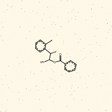 CCCC(OC(=O)c1ccccc1)C(C)c1ccccc1C